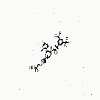 Cc1cc(F)ccc1[C@H]1CN(C2CN(CCC(=O)O)C2)CC[C@@H]1N(C)C(=O)C(C)(C)c1cc(C(F)F)cc(C(F)(F)F)c1